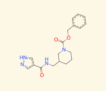 O=C(NCC1CCCN(C(=O)OCc2ccccc2)C1)c1cn[nH]c1